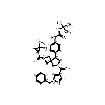 CC(C)(C)OC(=O)Nc1ccc(C2CN(C(=O)c3cnn(Cc4ccccc4)c3)CC23CN(C(=O)[C@H]2CC2(C)C)C3)cc1